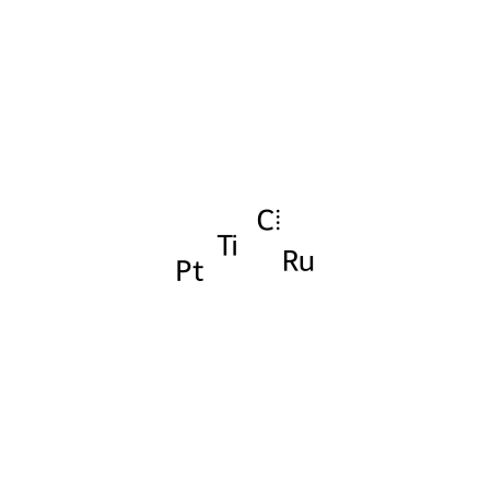 [C].[Pt].[Ru].[Ti]